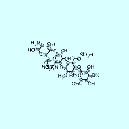 NC1[C@@H](O[C@H]2C(O)C(O)[C@H](O[C@H]3C(O)C(N)[C@@H](O)O[C@H]3COS(=O)(=O)O)O[C@H]2C(=O)O)OC(COS(=O)(=O)O)[C@@H](O[C@@H]2OC(C=O)[C@@H](O)C(O)[C@@H]2O)[C@@H]1O